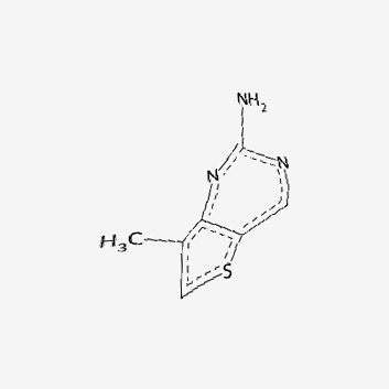 Cc1csc2cnc(N)nc12